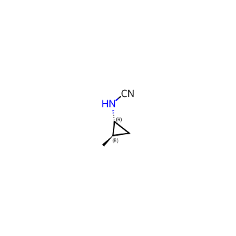 C[C@@H]1C[C@H]1NC#N